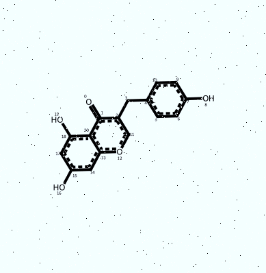 O=c1c(Cc2ccc(O)cc2)coc2cc(O)cc(O)c12